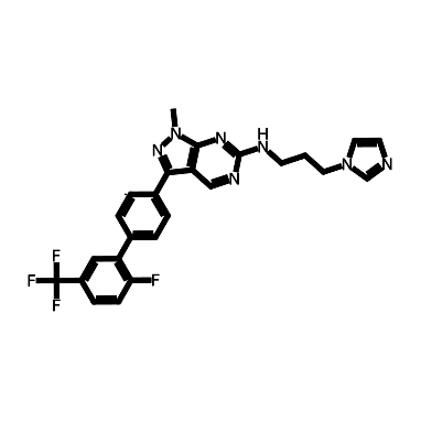 Cn1nc(-c2[c]cc(-c3cc(C(F)(F)F)ccc3F)cc2)c2cnc(NCCCn3ccnc3)nc21